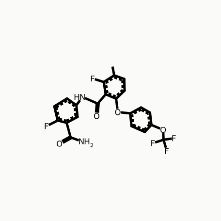 Cc1ccc(Oc2ccc(OC(F)(F)F)cc2)c(C(=O)Nc2ccc(F)c(C(N)=O)c2)c1F